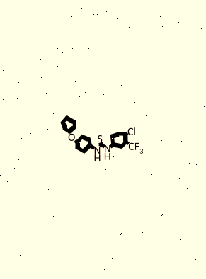 FC(F)(F)c1cc(NC(=S)Nc2ccc(Oc3ccccc3)cc2)ccc1Cl